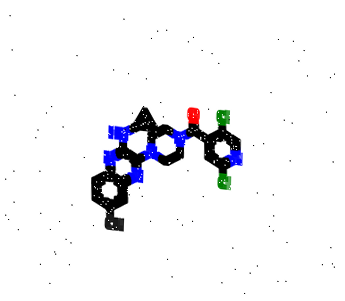 N#Cc1ccc2nc(NC3CC3)c(N3CCN(C(=O)c4cc(Cl)ncc4Cl)CC3)nc2c1